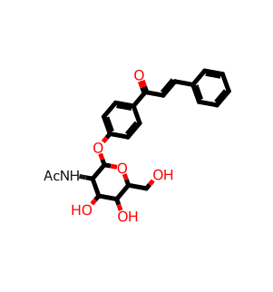 CC(=O)NC1C(Oc2ccc(C(=O)/C=C/c3ccccc3)cc2)OC(CO)C(O)C1O